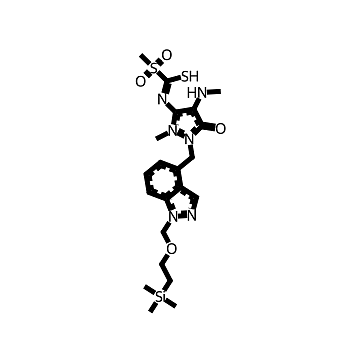 CNc1c(/N=C(\S)S(C)(=O)=O)n(C)n(Cc2cccc3c2cnn3COCC[Si](C)(C)C)c1=O